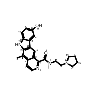 Cc1c2ccnc(C(=O)NCCN3CCCC3)c2cc2c1[nH]c1ccc(O)cc12